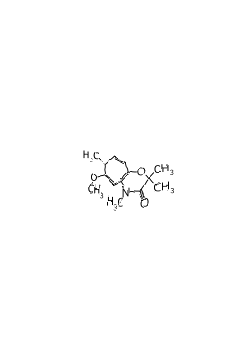 COC1=CC2=C(C=CC1C)OC(C)(C)C(=O)N2C